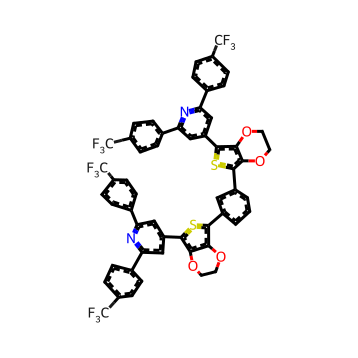 FC(F)(F)c1ccc(-c2cc(-c3sc(-c4cccc(-c5sc(-c6cc(-c7ccc(C(F)(F)F)cc7)nc(-c7ccc(C(F)(F)F)cc7)c6)c6c5OCCO6)c4)c4c3OCCO4)cc(-c3ccc(C(F)(F)F)cc3)n2)cc1